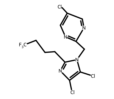 FC(F)(F)CCCc1nc(Cl)c(Cl)n1Cc1ncc(Cl)cn1